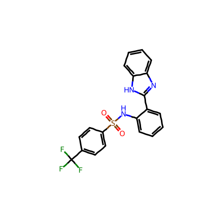 O=S(=O)(Nc1ccccc1-c1nc2ccccc2[nH]1)c1ccc(C(F)(F)F)cc1